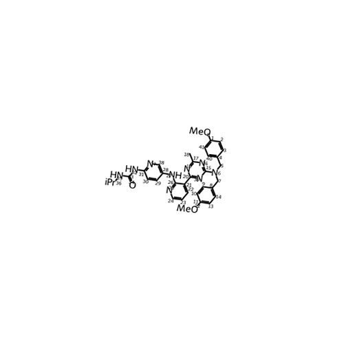 COc1ccc(CN(Cc2ccc(OC)cc2)c2nc(C)nc(-c3cccnc3Nc3ccc(NC(=O)NC(C)C)nc3)n2)cc1